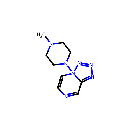 CN1CCN([N+]23C=CN=CC2=NN=N3)CC1